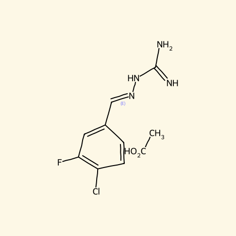 CC(=O)O.N=C(N)N/N=C/c1ccc(Cl)c(F)c1